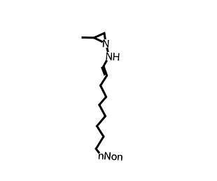 CCCCCCCCCCCCCCCCC=CNN1CC1C